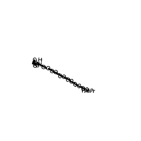 CCCNOCCOCCOCCOCCOCCOCCOCCOCCOCCOCCOCCOCCNC(=O)CN1C(=O)C=CC1=O